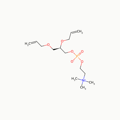 C=CCOC[C@H](COP(=O)([O-])OCC[N+](C)(C)C)OCC=C